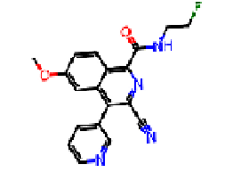 COc1ccc2c(C(=O)NCCF)nc(C#N)c(-c3cccnc3)c2c1